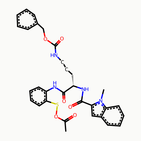 CC(=O)OSc1ccccc1NC(=O)[C@H](CCCNC(=O)OCc1ccccc1)NC(=O)c1cc2ccccc2n1C